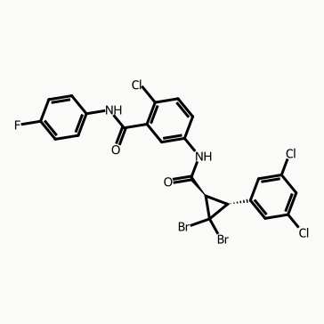 O=C(Nc1ccc(F)cc1)c1cc(NC(=O)[C@H]2[C@H](c3cc(Cl)cc(Cl)c3)C2(Br)Br)ccc1Cl